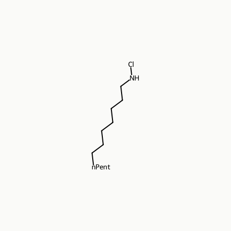 CCCCCCCCCCCCNCl